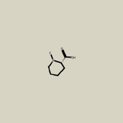 O=C(O)[C@@H]1CCCCN1F